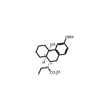 CCOC(=O)N(CI)[C@H]1Cc2ccc(OC)cc2[C@]2(C)CCCC[C@H]12